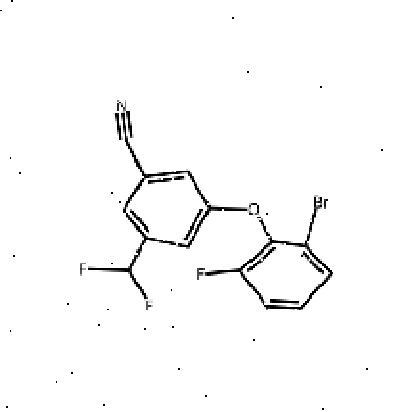 N#Cc1cc(Oc2c(F)[c]ccc2Br)cc(C(F)F)c1